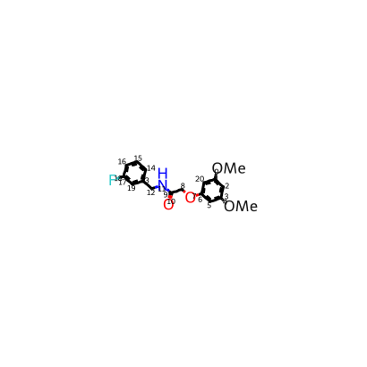 COc1cc(OC)cc(OCC(=O)NCc2cccc(F)c2)c1